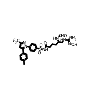 Cc1ccc(-c2cc(C(F)(F)F)nn2-c2ccc(S(=O)(=O)NC(=O)CCCC(CNC(N)=NO)NC=O)cc2)cc1